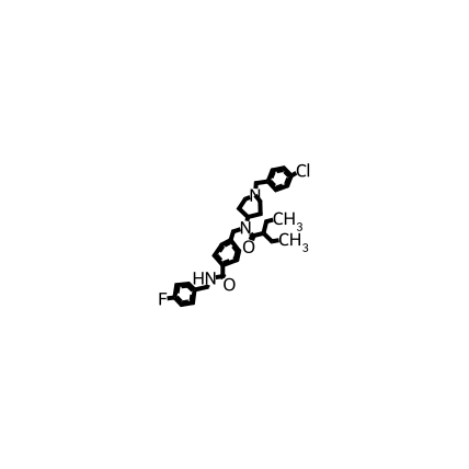 CCC(CC)C(=O)N(Cc1ccc(C(=O)NCc2ccc(F)cc2)cc1)C1CCN(Cc2ccc(Cl)cc2)CC1